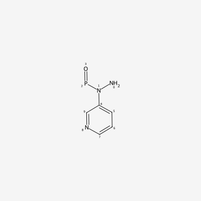 NN(P=O)c1cccnc1